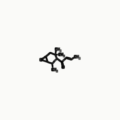 C/C=C/C(=O)C1C(C)C2OC2CC1(C)C